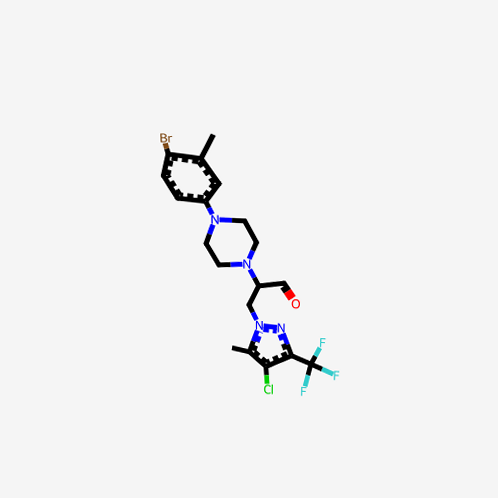 Cc1cc(N2CCN(C(C=O)Cn3nc(C(F)(F)F)c(Cl)c3C)CC2)ccc1Br